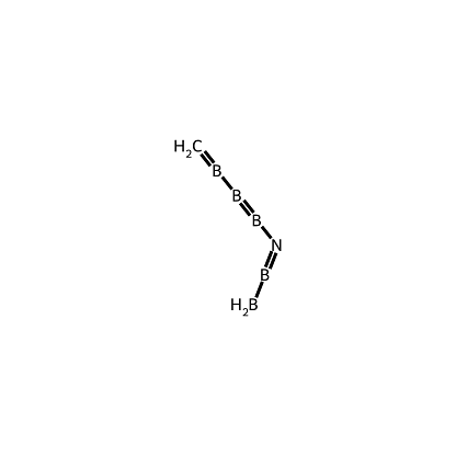 BB=NB=BB=C